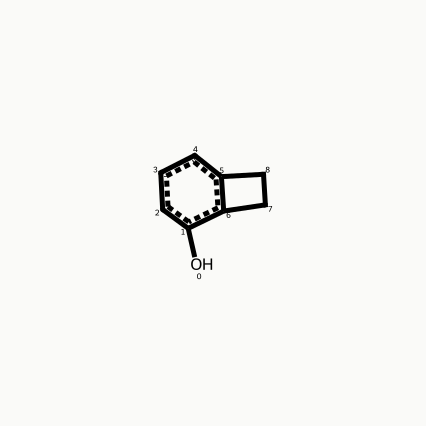 Oc1cc[c]c2c1CC2